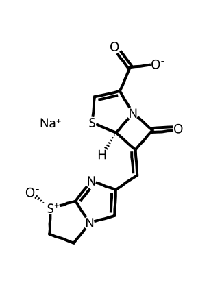 O=C([O-])C1=CS[C@@H]2/C(=C\c3cn4c(n3)[S@@+]([O-])CC4)C(=O)N12.[Na+]